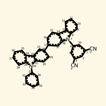 N#Cc1cc(C#N)cc(-n2c3ccccc3c3ccc(-c4ccc5c(c4)c4ccccc4n5-c4ccccc4)cc32)c1